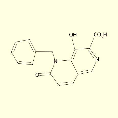 O=C(O)c1ncc2ccc(=O)n(Cc3ccccc3)c2c1O